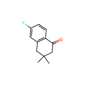 CC1(C)CC(=O)c2ccc(F)cc2C1